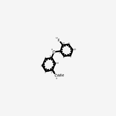 COc1cccc(Oc2ccc[c]c2F)c1